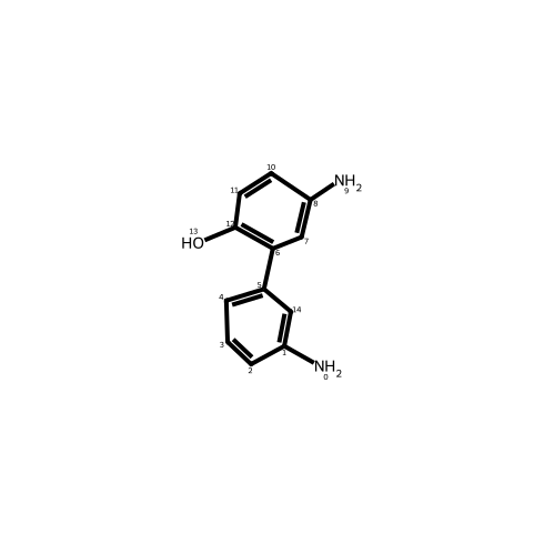 Nc1cccc(-c2cc(N)ccc2O)c1